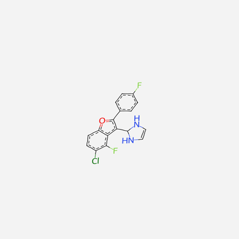 Fc1ccc(-c2oc3ccc(Cl)c(F)c3c2C2NC=CN2)cc1